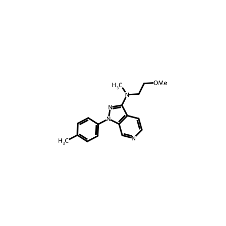 COCCN(C)c1nn(-c2ccc(C)cc2)c2cnccc12